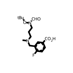 CN(CCCN(C=O)OC(C)(C)C)Cc1cc(C(=O)O)ccc1F